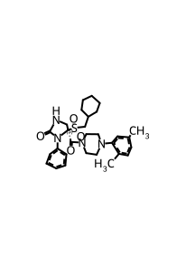 Cc1ccc(C)c(N2CCN(C(=O)[C@@]3(S(=O)(=O)CC4CCCCC4)CNC(=O)N3c3ccccc3)CC2)c1